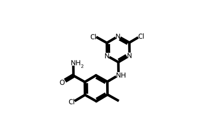 Cc1cc(Cl)c(C(N)=O)cc1Nc1nc(Cl)nc(Cl)n1